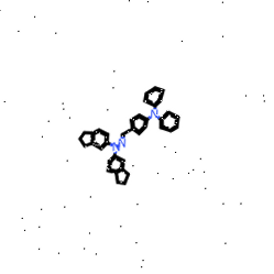 C(=N\N(c1ccc2c(c1)CCC2)c1ccc2c(c1)CCC2)/c1ccc(N(c2ccccc2)c2ccccc2)cc1